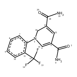 NC(=O)C1=CN(c2ccccc2C(F)(F)F)CC(C(N)=O)=C1